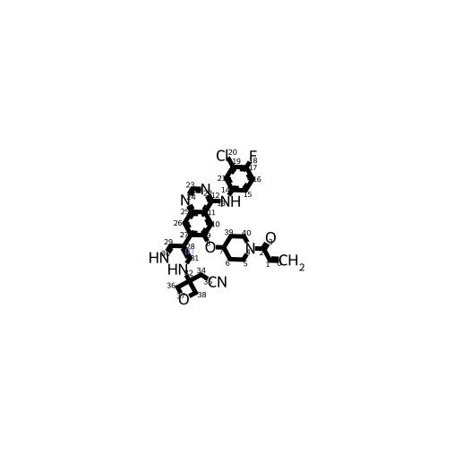 C=CC(=O)N1CCC(Oc2cc3c(Nc4ccc(F)c(Cl)c4)ncnc3cc2/C(C=N)=C/NC2(CC#N)COC2)CC1